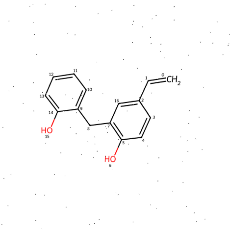 C=Cc1ccc(O)c(Cc2ccccc2O)c1